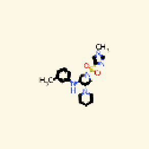 Cc1cccc(N[C@H]2CN(S(=O)(=O)c3cn(C)cn3)C[C@@H]2N2CCCCC2)c1